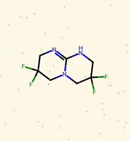 FC1(F)CN=C2NCC(F)(F)CN2C1